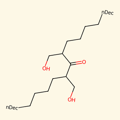 CCCCCCCCCCCCCCC(CO)C(=O)C(CO)CCCCCCCCCCCCCC